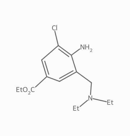 CCOC(=O)c1cc(Cl)c(N)c(CN(CC)CC)c1